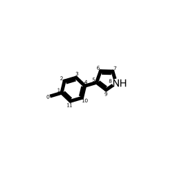 Cc1ccc(-c2cc[nH]c2)cc1